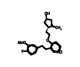 COc1cc(CCc2ccccc2OCC[C@@H]2C[C@@H](O)CN2C)ccc1F.Cl